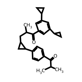 CC(C)C(=O)c1ccc(C2CC2CC(C)C(=O)c2cc(C3CC3)cc(C3CC3)c2)cc1